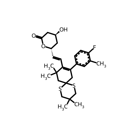 Cc1cc(C2=C(C=C[C@H]3C[C@H](O)CC(=O)O3)C(C)(C)CC3(C2)SCC(C)(C)CS3)ccc1F